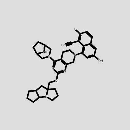 C#Cc1c(F)ccc2cc(O)cc(N3CCc4c(nc(OCC56CCCN5C5CCCC5C6)nc4N4CC5CCC(C4)N5)C3)c12